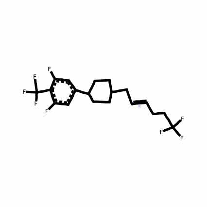 Fc1cc(C2CCC(C/C=C/CCC(F)(F)F)CC2)cc(F)c1C(F)(F)F